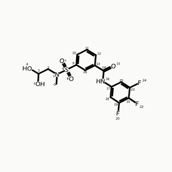 CN(CC(O)O)S(=O)(=O)c1cccc(C(=O)Nc2cc(F)c(F)c(F)c2)c1